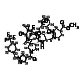 COC(=O)C1CCN(C[C@@H](NC(=O)[C@@H]2CN(C(=O)c3cnn(Cc4ccc(C(F)(F)F)cc4)c3)CC23CN(C(=O)C2(C(F)(F)F)CC2)C3)[C@@H](C)OCC23CCC(CC2)OC3)CC1